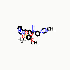 COc1cc(C)c(S(=O)(=O)N2CCn3cccc3C2CCCC(=O)NC2CCCC(N3CCN(C)CC3)C2)c(C)c1